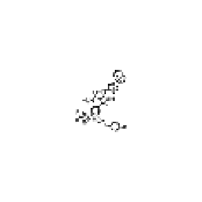 NC(=O)c1c(-c2ccc(NS(=O)(=O)C(F)F)c(OCCc3ccc(F)cc3)c2)n[nH]c1Nc1cc(C23CC4CC(CC(C4)C2)C3)on1